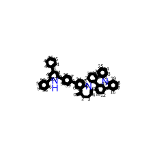 C=C1CC/C=C\N(C2=C(C3=C4C(CC=C3)c3ccccc3N4c3ccccc3)C=CCC2)c2ccc(-c3ccc(C4=CC(C5=CC=CCC5)=CC(c5ccccc5)N4)cc3)cc21